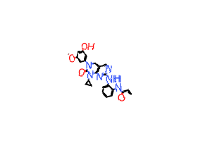 C=CC(=O)Nc1ccccc1Nc1ncc2c(n1)N(C1CC1)C(=O)N(c1cc(O)cc(OC)c1)C2